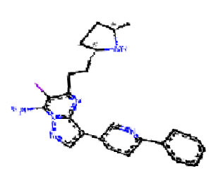 C[C@@H]1CC[C@H](CCc2nc3c(-c4ccc(-c5ccccc5)nc4)cnn3c(N)c2I)N1